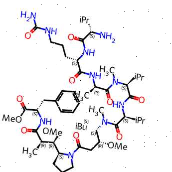 CC[C@H](C)[C@@H]([C@@H](CC(=O)N1CCC[C@H]1[C@H](OC)[C@@H](C)C(=O)N[C@@H](Cc1ccccc1)C(=O)OC)OC)N(C)C(=O)[C@@H](NC(=O)[C@H](C(C)C)N(C)C(=O)[C@@H](C)NC(=O)[C@H](CCCNC(N)=O)NC(=O)[C@@H](N)C(C)C)C(C)C